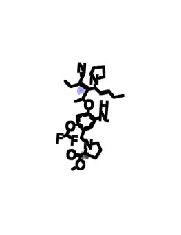 CCC=CC(/C(=C(\C#N)CC)C(C)Oc1cc(OC(F)F)c(CN2CCC[C@H]2C(=O)OC)cc1NC)N1CCCC1